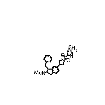 CNC1Cc2ccc(C3CN(S(=O)(=O)c4cn(C)cn4)C3)cc2C1Cc1ccccc1